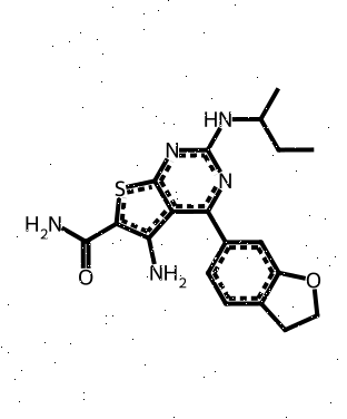 CCC(C)Nc1nc(-c2ccc3c(c2)OCC3)c2c(N)c(C(N)=O)sc2n1